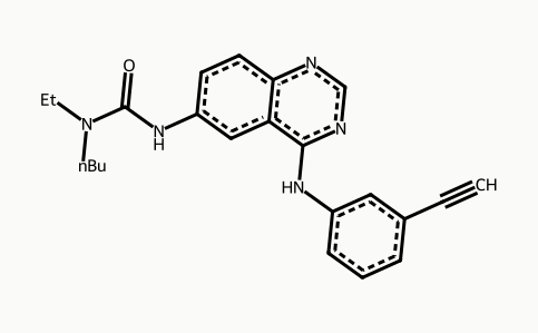 C#Cc1cccc(Nc2ncnc3ccc(NC(=O)N(CC)CCCC)cc23)c1